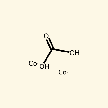 O=C(O)O.[Co].[Co]